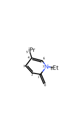 C=C1C=CC(C(C)C)=CN1CC